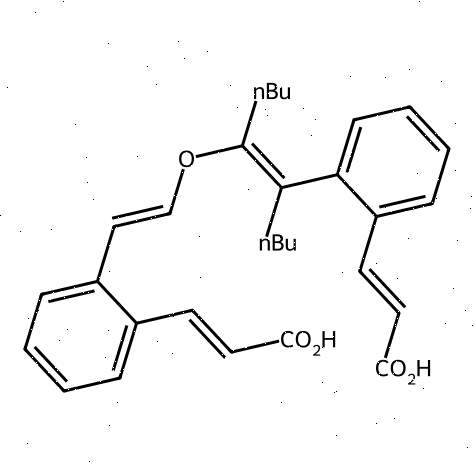 CCCCC(OC=Cc1ccccc1C=CC(=O)O)=C(CCCC)c1ccccc1C=CC(=O)O